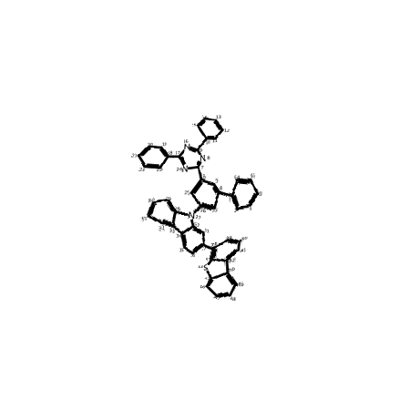 c1ccc(-c2cc(-c3nc(-c4ccccc4)nc(-c4ccccc4)n3)cc(-n3c4ccccc4c4ccc(-c5cccc6c5sc5ccccc56)cc43)c2)cc1